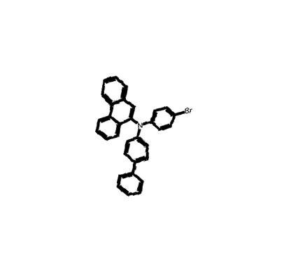 Brc1ccc(N(c2ccc(-c3ccccc3)cc2)c2cc3ccccc3c3ccccc23)cc1